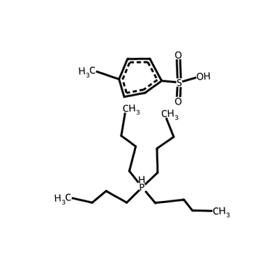 CCCC[PH](CCCC)(CCCC)CCCC.Cc1ccc(S(=O)(=O)O)cc1